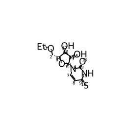 CCOC[C@H]1O[C@@H](n2ccc(=S)[nH]c2=O)[C@H](O)[C@@H]1O